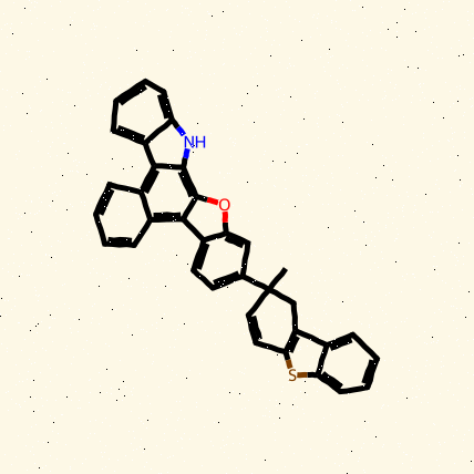 CC1(c2ccc3c(c2)oc2c4[nH]c5ccccc5c4c4ccccc4c32)C=Cc2sc3ccccc3c2C1